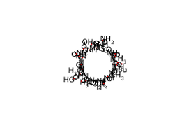 CCCC[C@H]1C(=O)N(C)CC(=O)N[C@@H](CC(=O)O)C(=O)N[C@@H](C)C(=O)N(C)[C@@H](Cc2ccccc2)C(=O)N[C@@H](CCc2ccc(O)cc2)C(=O)N(C)CC(=O)N[C@@H](Cc2c[nH]c3ccccc23)C(=O)N[C@@H](Cc2ccc(O)cc2)C(=O)N[C@@H](CC(C)C)C(=O)N[C@H](C(=O)NCC(N)=O)CSCC(=O)N[C@@H](Cc2ccccc2)C(=O)N(C)[C@@H](Cc2ccccc2)C(=O)N1C